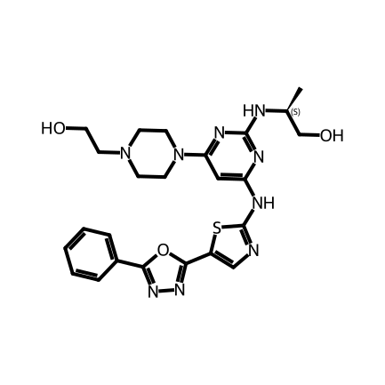 C[C@@H](CO)Nc1nc(Nc2ncc(-c3nnc(-c4ccccc4)o3)s2)cc(N2CCN(CCO)CC2)n1